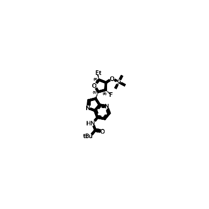 CC[C@H]1O[C@@H](C2C=Nc3c(NC(=O)C(C)(C)C)ccnc32)[C@@H](F)C1O[Si](C)(C)C